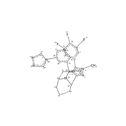 Cn1nc2c(c1-c1cc(F)c(F)c(F)c1)CC1CCCC2N1C(=O)c1cncc(-n2cnnc2)c1